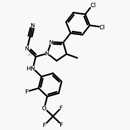 CC1CN(/C(=N\C#N)Nc2cccc(OC(F)(F)F)c2F)N=C1c1ccc(Cl)c(Cl)c1